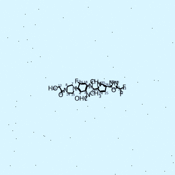 CN(C=O)c1cc(N2CCN(C(=O)CO)CC2)c(F)cc1N(C)Cc1ccc(-c2nnc(C(F)F)o2)cn1